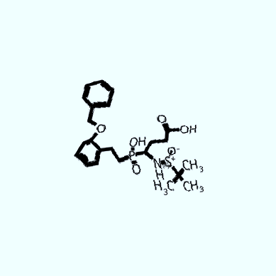 CC(C)(C)[S@+]([O-])NC(CCC(=O)O)P(=O)(O)CCc1ccccc1OCc1ccccc1